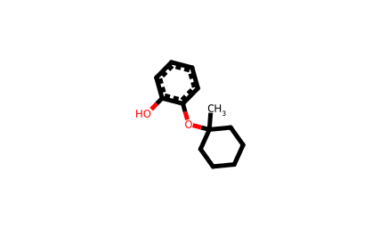 CC1(Oc2ccccc2O)CCCCC1